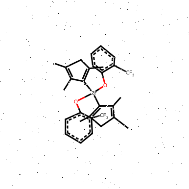 CC1=C(C)[C]([Zr]([O]c2ccccc2C(F)(F)F)([O]c2ccccc2C(F)(F)F)[C]2=C(C)CC(C)=C2C)=C(C)C1